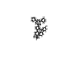 Cc1ccc2c3ccccc3n(-c3cc(-c4nc(-c5ccccc5)nc(-c5ccccc5)n4)ccc3-c3ccc(C(F)(F)F)cc3)c2c1